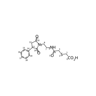 O=C(O)CSCC(=O)NCCN1C(=O)CC(c2ccccc2)C1=O